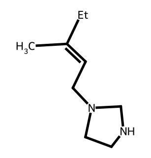 CCC(C)=CCN1CCNC1